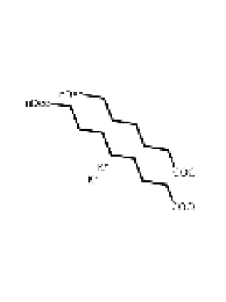 CCCCCCCCCCCCCCCC(=O)[O-].CCCCCCCCCCCCCCCCCC(=O)[O-].[K+].[K+]